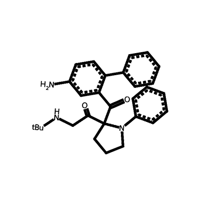 CC(C)(C)NCC(=O)C1(C(=O)c2cc(N)ccc2-c2ccccc2)CCCN1c1ccccc1